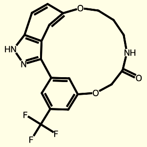 O=C1COc2cc(cc(C(F)(F)F)c2)-c2n[nH]c3ccc(cc23)OCCCN1